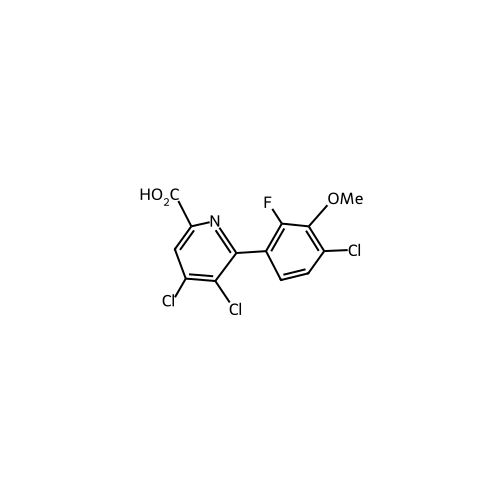 COc1c(Cl)ccc(-c2nc(C(=O)O)cc(Cl)c2Cl)c1F